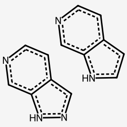 c1cc2cc[nH]c2cn1.c1cc2cn[nH]c2cn1